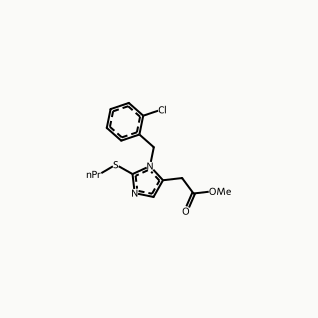 CCCSc1ncc(CC(=O)OC)n1Cc1ccccc1Cl